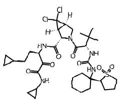 CC(C)(C)[C@H](NC(=O)NC1([C@@H]2CCCS2(=O)=O)CCCCC1)C(=O)N1C[C@H]2[C@@H]([C@H]1C(=O)N[C@H](CCC1CC1)C(=O)C(=O)NC1CC1)C2(Cl)Cl